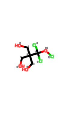 OCC(CO)(CO)C(Cl)(Cl)OCl